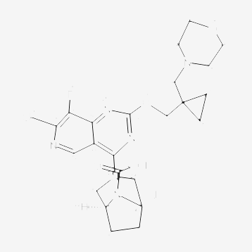 O=C(O)N1[C@@H]2CC[C@H]1CN(c1nc(OCC3(CN4CCOCC4)CC3)nc3c(F)c(Cl)ncc13)C2